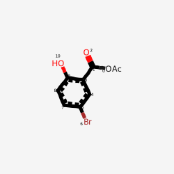 CC(=O)OC(=O)c1cc(Br)ccc1O